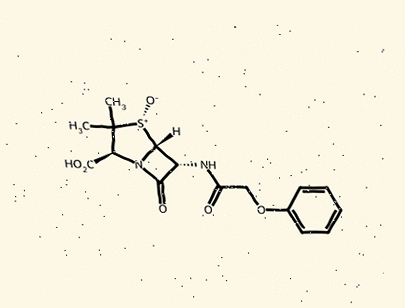 CC1(C)[C@H](C(=O)O)N2C(=O)[C@@H](NC(=O)COc3ccccc3)[C@H]2[S@@+]1[O-]